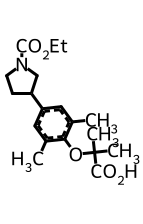 CCOC(=O)N1CCC(c2cc(C)c(OC(C)(C)C(=O)O)c(C)c2)C1